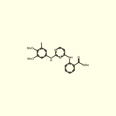 CNC(=O)c1ccccc1Nc1ccnc(Nc2cc(C)c(OC)c(OC)c2)n1